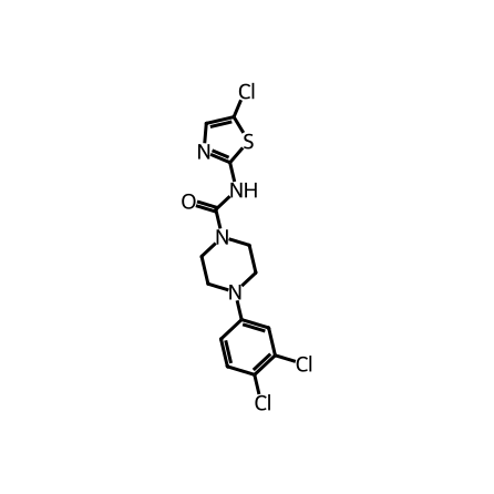 O=C(Nc1ncc(Cl)s1)N1CCN(c2ccc(Cl)c(Cl)c2)CC1